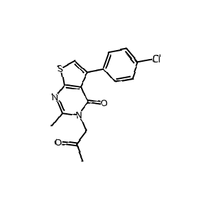 CC(=O)Cn1c(C)nc2scc(-c3ccc(Cl)cc3)c2c1=O